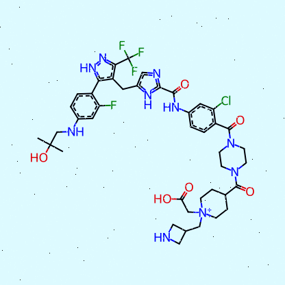 CC(C)(O)CNc1ccc(-c2[nH]nc(C(F)(F)F)c2Cc2cnc(C(=O)Nc3ccc(C(=O)N4CCN(C(=O)C5CC[N+](CC(=O)O)(CC6CNC6)CC5)CC4)c(Cl)c3)[nH]2)c(F)c1